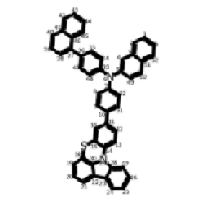 c1ccc2cc(N(c3ccc(-c4ccc5c(c4)Sc4cccc6c7ccccc7n-5c46)cc3)c3ccc(-c4cccc5ccccc45)cc3)ccc2c1